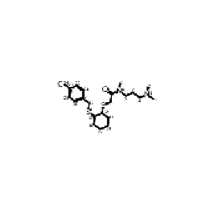 CN(C)CCCN(C)C(=O)CSC1CCCCC1SCc1ccc(Cl)cc1